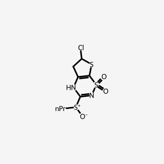 CCC[S+]([O-])C1=NS(=O)(=O)C2=C(CC(Cl)S2)N1